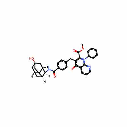 COC(=O)c1c(Cc2ccc(C(=O)N[C@@H]3[C@@H]4C[C@@H]5C[C@H]3C[C@](O)(C5)C4)cc2)c(=O)c2cccnc2n1-c1ccccc1